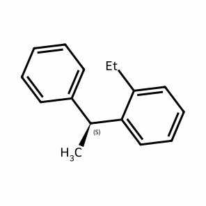 CCc1ccccc1[C@@H](C)c1ccccc1